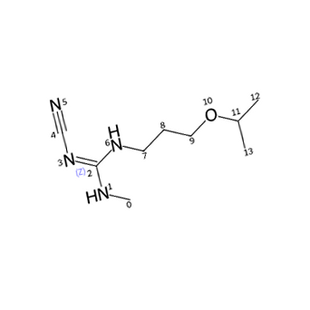 CN/C(=N/C#N)NCCCOC(C)C